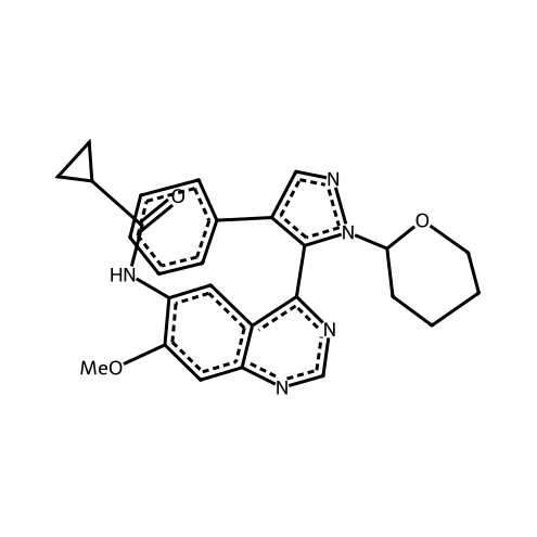 COc1cc2ncnc(-c3c(-c4ccccc4)cnn3C3CCCCO3)c2cc1NC(=O)C1CC1